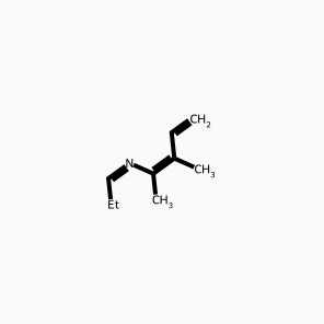 C=C/C(C)=C(C)\N=C/CC